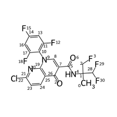 CC(CF)(NC(=O)c1cn(-c2c(F)cc(F)cc2F)c2nc(Cl)ccc2c1=O)C(F)F